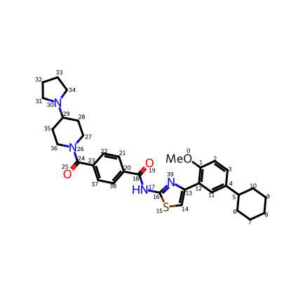 COc1ccc(C2CCCCC2)cc1-c1csc(NC(=O)c2ccc(C(=O)N3CCC(N4CCCC4)CC3)cc2)n1